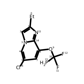 CCc1cn2cc(Cl)cc(OC(F)(F)P)c2n1